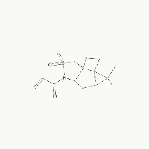 C=CC(=O)N1C2CC3C(C)(C)C34CCC24CS1(=O)=O